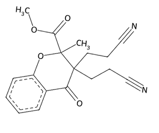 COC(=O)C1(C)Oc2ccccc2C(=O)C1(CCC#N)CCC#N